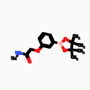 CC[C@@H](C)NC(=O)COc1cccc(B2OC(C)(C)C(C)(C)O2)c1